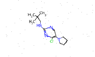 CC(C)(C)CNc1ncc(N2CCCC2)c(Cl)n1